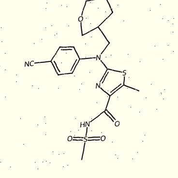 Cc1sc(N(CC2CCCOC2)c2ccc(C#N)cc2)nc1C(=O)NS(C)(=O)=O